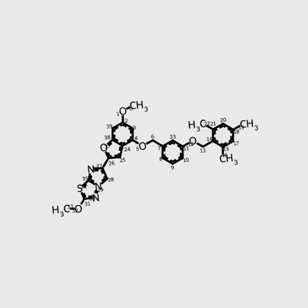 COc1cc(OCc2cccc(OCc3c(C)cc(C)cc3C)c2)c2cc(-c3cn4nc(OC)sc4n3)oc2c1